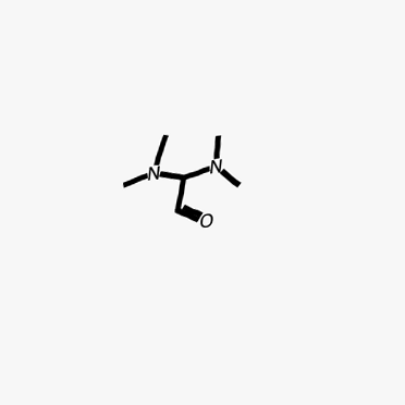 CN(C)C(C=O)N(C)C